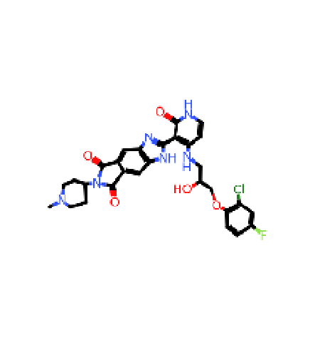 CN1CCC(N2C(=O)c3cc4nc(-c5c(NCC(O)COc6ccc(F)cc6Cl)cc[nH]c5=O)[nH]c4cc3C2=O)CC1